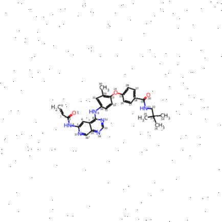 C=CC(=O)Nc1cc2c(Nc3ccc(Oc4ccc(C(=O)NCC(C)(C)C)cc4)c(C)c3)ncnc2cn1